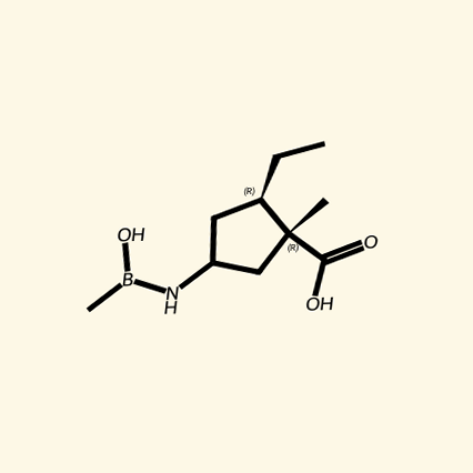 CC[C@@H]1CC(NB(C)O)C[C@@]1(C)C(=O)O